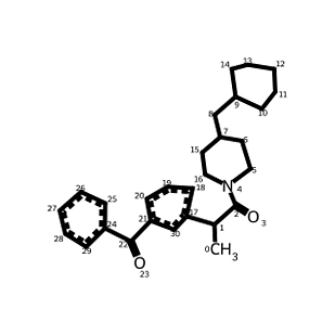 CC(C(=O)N1CCC(CC2CCCCC2)CC1)c1cccc(C(=O)c2ccccc2)c1